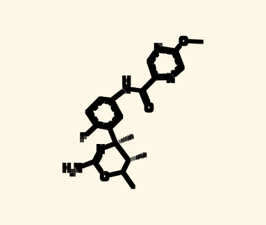 COc1cnc(C(=O)Nc2ccc(F)c([C@]3(C)N=C(N)OC(C)[C@H]3C)c2)cn1